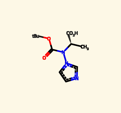 C[C@@H](C(=O)O)N(C(=O)OC(C)(C)C)n1ccnc1